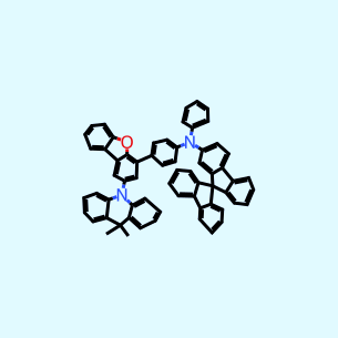 CC1(C)c2ccccc2N(c2cc(-c3ccc(N(c4ccccc4)c4ccc5c(c4)C4(c6ccccc6-c6ccccc64)c4ccccc4-5)cc3)c3oc4ccccc4c3c2)c2ccccc21